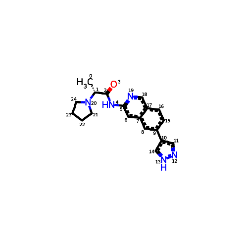 C[C@H](C(=O)Nc1cc2cc(-c3cn[nH]c3)ccc2cn1)N1CCCC1